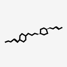 CC=CCC[C@H]1CC[C@H](CCCCC2CCC(C=CCCC)CC2)CC1